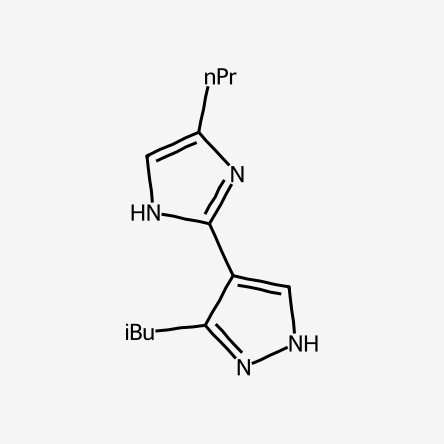 CCCc1c[nH]c(-c2c[nH]nc2C(C)CC)n1